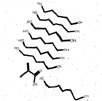 C=C(C)C(=O)O.OCCCCCO.OCCCCCO.OCCCCCO.OCCCCCO.OCCCCCO.OCCCCCO.OCCCCCO